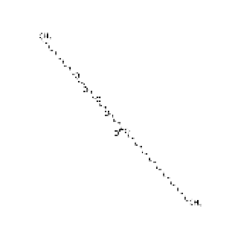 CCCCCCCCCCCCCCCCCCOC(=O)CCCOCCOCCOCCOCCCCCCCCCC